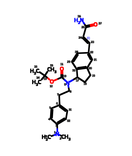 CN(C)c1ccc(CCN(C(=O)OC(C)(C)C)C2CCc3cc(/C=C/C(N)=O)ccc32)cc1